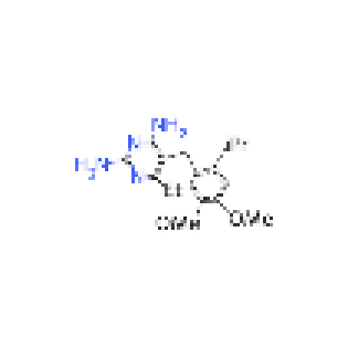 CCc1nc(N)nc(N)c1Cc1cc(OC)c(OC)cc1C(C)C